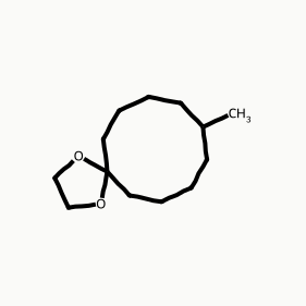 CC1CCCCC2(CCCC1)OCCO2